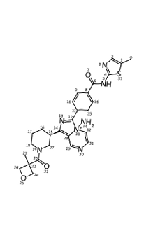 Cc1cnc(NC(=O)c2ccc(C3=NC([C@@H]4CCCN(C(=O)C5(C)COC5)C4)=C4C=NC=C[N+]34N)cc2)s1